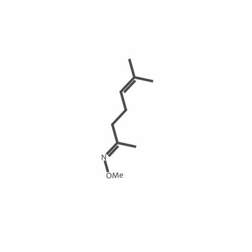 CO/N=C(\C)CCC=C(C)C